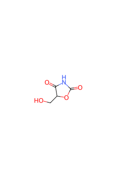 O=C1NC(=O)C(CO)O1